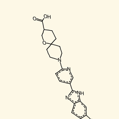 O=C(O)C1CCC2(CCN(c3ccc(-c4nc5ccc(F)cc5[nH]4)cn3)CC2)OC1